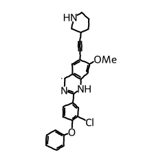 COc1cc2c(cc1C#CC1CCCNC1)[CH]N=C(c1ccc(Oc3ccccc3)c(Cl)c1)N2